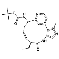 CC[C@H]1C=CCC(NC(=O)OC(C)(C)C)c2cc(ccn2)-c2c(cnn2C)NC1=O